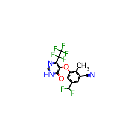 Cc1c(C#N)cc(C(F)F)cc1Oc1c(C(F)(F)C(F)(F)F)nc[nH]c1=O